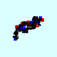 Cc1ncsc1-c1ccc(CNC(=O)[C@@H]2C[C@@H](O)CN2C(=O)C(NC(=O)CCCCc2ccc(CO[C@H](C)[C@H](CCC(N)=O)NC(=O)[C@@H]3[C@@H]4CC4CN3C(=O)[C@H](CC(C)C)NC(=O)OC(C)(C)C)cc2)C(C)(C)C)cc1